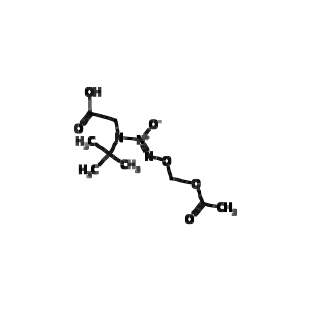 CC(=O)OCON=[N+]([O-])N(CC(=O)O)C(C)(C)C